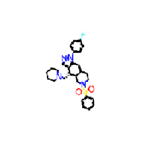 O=S(=O)(c1ccccc1)N1CCC2=Cc3c(cnn3-c3ccc(F)cc3)[C@@H](CN3CCCCC3)C2C1